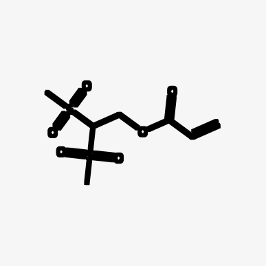 C=CC(=O)OCC(S(C)(=O)=O)S(C)(=O)=O